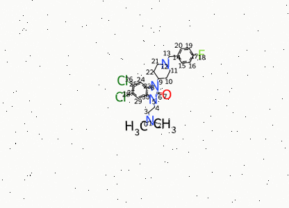 CN(C)CCn1c(=O)n(C2CCN(Cc3ccc(F)cc3)CC2)c2cc(Cl)c(Cl)cc21